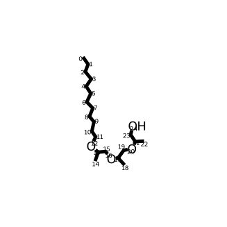 CCCCCCCCCCCCOC(C)COC(C)COC(C)CO